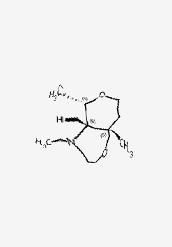 C[C@@H]1OCC[C@]2(C)OCN(C)[C@H]12